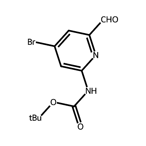 CC(C)(C)OC(=O)Nc1cc(Br)cc(C=O)n1